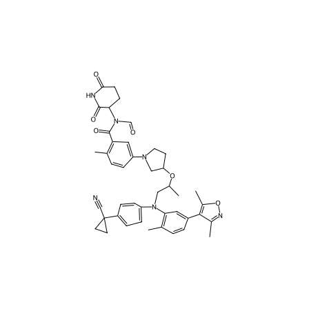 Cc1ccc(N2CCC(OC(C)CN(c3ccc(C4(C#N)CC4)cc3)c3cc(-c4c(C)noc4C)ccc3C)C2)cc1C(=O)N(C=O)C1CCC(=O)NC1=O